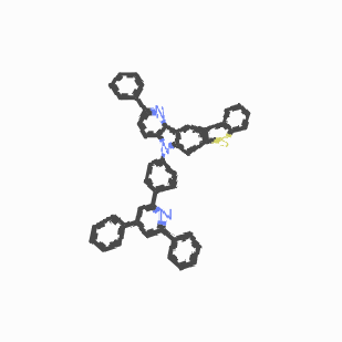 c1ccc(-c2cc(-c3ccccc3)nc(-c3ccc(-n4c5cc6sc7ccccc7c6cc5c5nc(-c6ccccc6)ccc54)cc3)c2)cc1